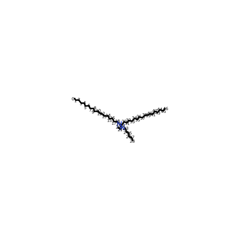 CCCCCCCCCCCCCCCCCCCN1C=CN(CCCCCC)C1CCCCCCCCCCCCCCCCC